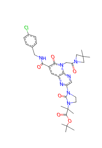 CC1(C)CN(C(=O)Cn2c(=O)c(C(=O)NCc3ccc(Cl)cc3)cc3nc(N4CCN(C(C)(C)C(=O)OC(C)(C)C)C4=O)cnc32)C1